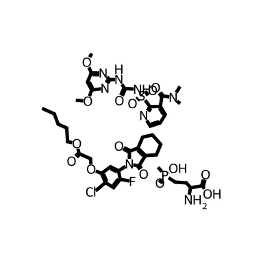 CCCCCOC(=O)COc1cc(N2C(=O)C3=C(CCCC3)C2=O)c(F)cc1Cl.COc1cc(OC)nc(NC(=O)NS(=O)(=O)c2ncccc2C(=O)N(C)C)n1.CP(=O)(O)CCC(N)C(=O)O